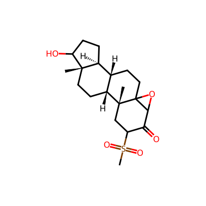 C[C@]12CC[C@@H]3[C@@H](CCC45OC4C(=O)C(S(C)(=O)=O)C[C@]35C)[C@@H]1CCC2O